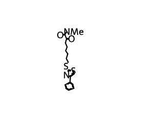 CNC(=O)C(=O)CCCCCCSc1nc(-c2ccccc2)cs1